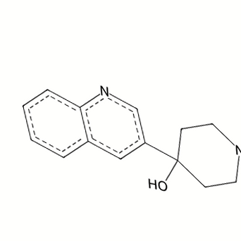 OC1(c2cnc3ccccc3c2)CCNCC1